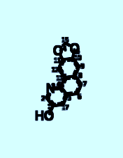 Oc1cnc2c(ccc3cc4c(cc32)OCO4)c1